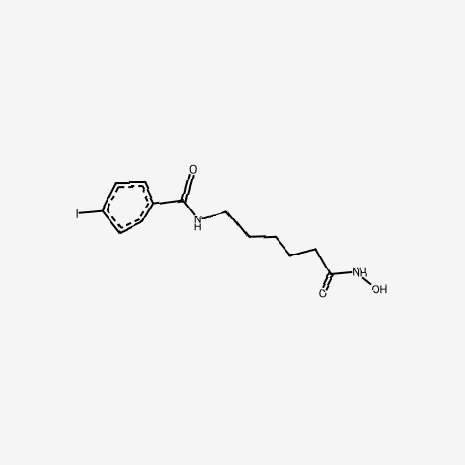 O=C(CCCCCNC(=O)c1ccc(I)cc1)NO